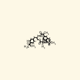 C[C@H](C(=O)NC[C@@H](COC(=O)C(C)(C)C)Cc1ccc(C(C)(C)C)cc1)c1ccc(NS(C)(=O)=O)c(F)c1